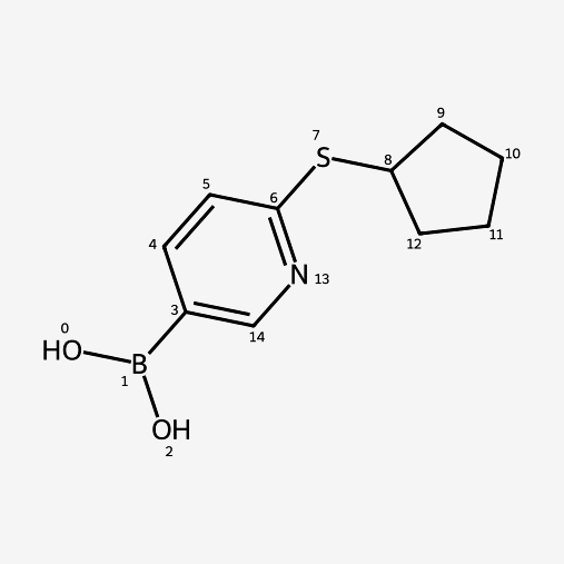 OB(O)c1ccc(SC2CCCC2)nc1